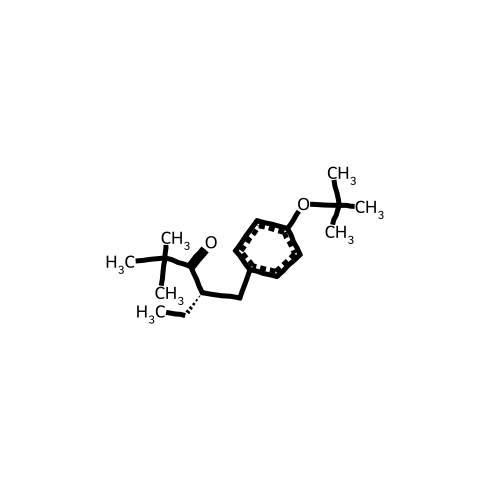 CC[C@@H](Cc1ccc(OC(C)(C)C)cc1)C(=O)C(C)(C)C